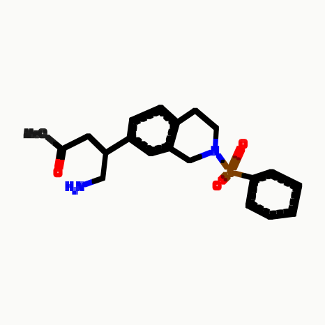 COC(=O)CC(CN)c1ccc2c(c1)CN(S(=O)(=O)c1ccccc1)CC2